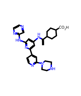 C=C(Nc1cc(Nc2cnccn2)nc(-c2ccnc(N3CCNCC3)c2)c1)C1CCC(C(=O)O)CC1